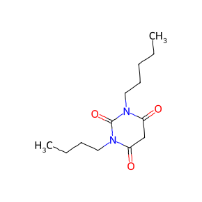 CCCCCN1C(=O)CC(=O)N(CCCC)C1=O